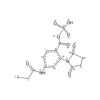 O=C(CI)Nc1ccc(C(=O)OS(=O)(=O)O)c(N2C(=O)CCC2=O)c1